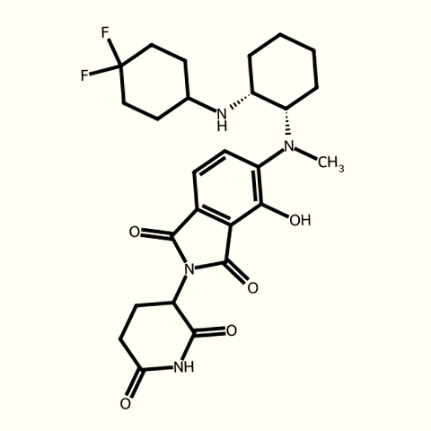 CN(c1ccc2c(c1O)C(=O)N(C1CCC(=O)NC1=O)C2=O)[C@H]1CCCC[C@H]1NC1CCC(F)(F)CC1